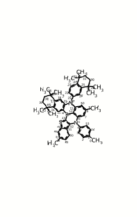 Cc1ccc(N2c3cc(C)cc4c3B(c3cc5c(cc3N4c3ccc4c(c3)C(C)(C)CCC4(C)C)C(C)(C)CCC5(C)C)c3sc4cc(C)ccc4c32)cc1